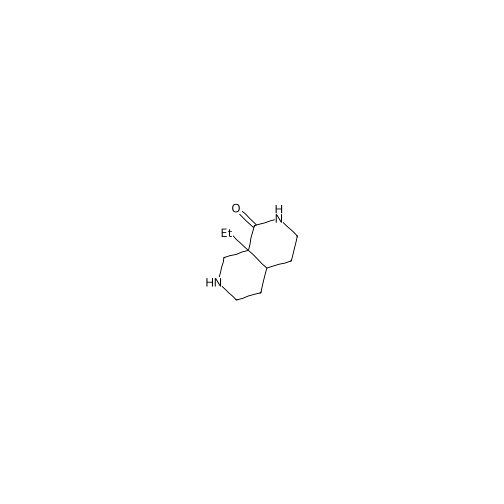 CCC12CNCCC1CCNC2=O